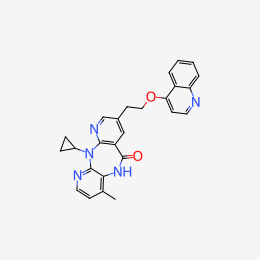 Cc1ccnc2c1NC(=O)c1cc(CCOc3ccnc4ccccc34)cnc1N2C1CC1